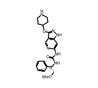 COC[C@@H](NC(=O)Nc1cc2[nH]nc(OC3CCNCC3)c2cn1)c1ccccc1